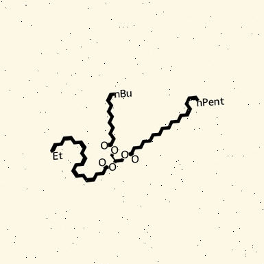 CC/C=C\C/C=C\C/C=C\C/C=C\C/C=C\C/C=C\CCC(=O)O[C@@H](COC(=O)CCCCCCC/C=C\CCCC)COC(=O)CCCCCCCCCCC/C=C\C/C=C\CCCCC